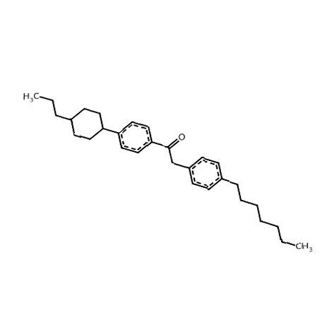 CCCCCCCc1ccc(CC(=O)c2ccc(C3CCC(CCC)CC3)cc2)cc1